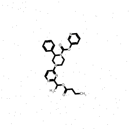 CCCC(=O)OC(C)c1nccc(N2CCN(C(=O)Oc3cccnc3)C(c3ccccc3)C2)n1